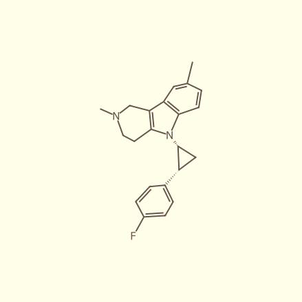 Cc1ccc2c(c1)c1c(n2[C@@H]2C[C@@H]2c2ccc(F)cc2)CCN(C)C1